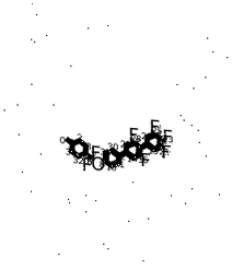 CC1CCC(C(F)(F)Oc2ccc(-c3cc(F)c(-c4cc(F)c(F)c(F)c4)c(F)c3)cc2)CC1